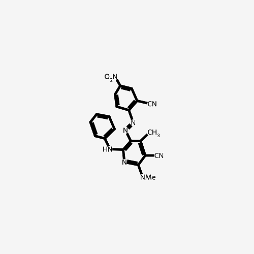 CNc1nc(Nc2ccccc2)c(N=Nc2ccc([N+](=O)[O-])cc2C#N)c(C)c1C#N